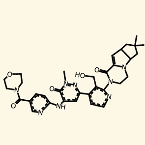 Cn1nc(-c2ccnc(N3CCN4C(=CC5CC(C)(C)CC54)C3=O)c2CO)cc(Nc2ccc(C(=O)N3CCOCC3)cn2)c1=O